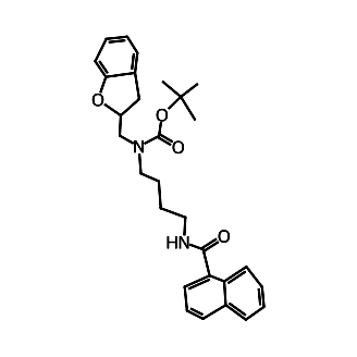 CC(C)(C)OC(=O)N(CCCCNC(=O)c1cccc2ccccc12)CC1Cc2ccccc2O1